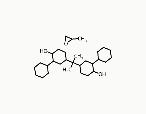 CC(C)(C1CCC(O)C(C2CCCCC2)C1)C1CCC(O)C(C2CCCCC2)C1.CC1CO1